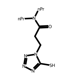 CCCN(CCC)C(=O)CCn1nnnc1S